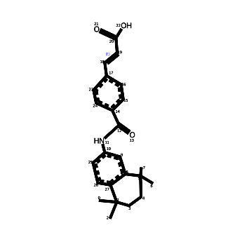 CC1(C)CCC(C)(C)c2cc(NC(=O)c3ccc(/C=C/C(=O)O)cc3)ccc21